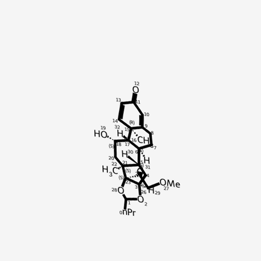 CCCC1O[C@@H]2C[C@H]3[C@@H]4CCC5=CC(=O)C=C[C@]5(C)[C@H]4[C@@H](O)C[C@]3(C)[C@]2(C(=O)COC)O1